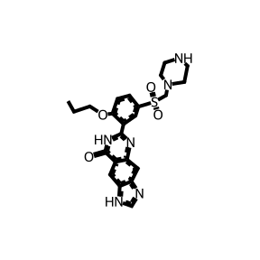 CCCOc1ccc(S(=O)(=O)CN2CCNCC2)cc1-c1nc2cc3nc[nH]c3cc2c(=O)[nH]1